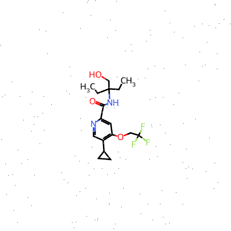 CCC(CC)(CO)NC(=O)c1cc(OCC(F)(F)F)c(C2CC2)cn1